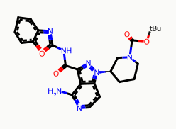 CC(C)(C)OC(=O)N1CCC[C@@H](n2nc(C(=O)Nc3nc4ccccc4o3)c3c(N)nccc32)C1